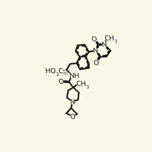 Cn1ccc(=O)n(-c2cccc3c(C[C@H](NC(=O)C4(C)CCN(C5COC5)CC4)C(=O)O)cccc23)c1=O